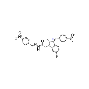 CC1=C(CC(=O)NN=Cc2ccc([N+](=O)[O-])cc2)c2cc(F)ccc2/C1=C\c1ccc([S+](C)[O-])cc1